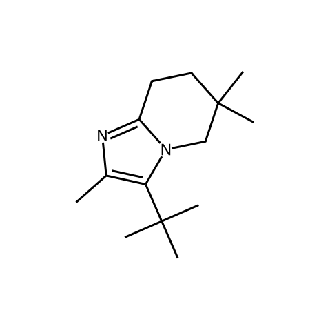 Cc1nc2n(c1C(C)(C)C)CC(C)(C)CC2